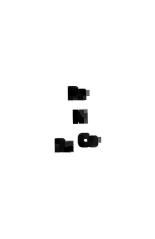 [Co].[Ni].[Re].[Ru]